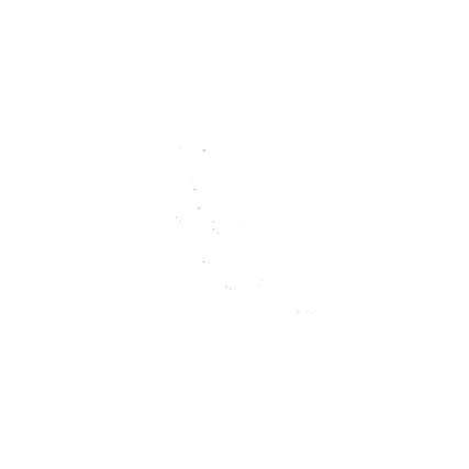 COc1ccc(Nc2cc(Cl)nc(CN(C)Cc3ccccc3)n2)cc1